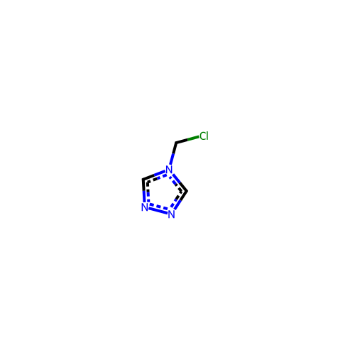 ClCn1cnnc1